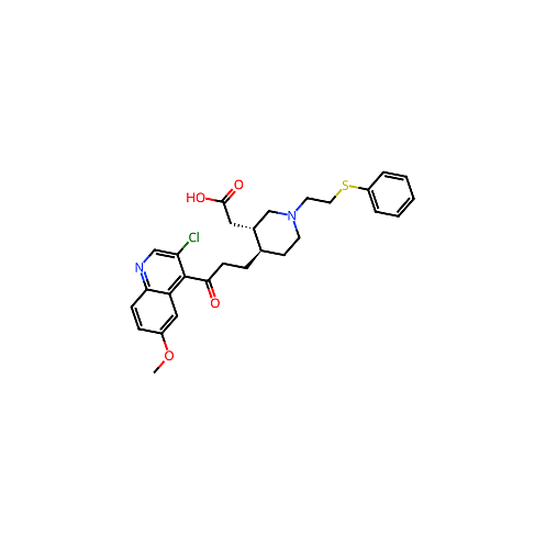 COc1ccc2ncc(Cl)c(C(=O)CC[C@@H]3CCN(CCSc4ccccc4)C[C@H]3CC(=O)O)c2c1